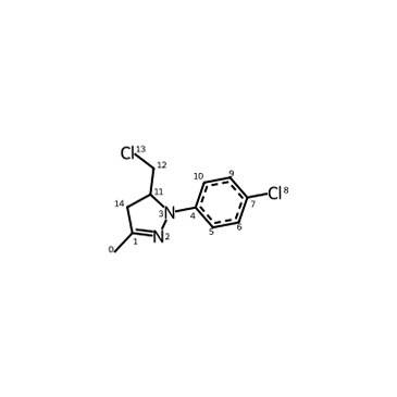 CC1=NN(c2ccc(Cl)cc2)C(CCl)C1